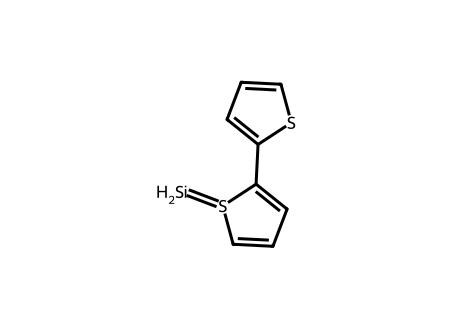 [SiH2]=S1C=CC=C1c1cccs1